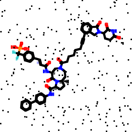 O=C(/C=C/c1ccc(C(F)(F)P(=O)(O)O)cc1)N[C@H]1CN(C(=O)CCCCCC#Cc2cccc3c2CN(C2CCC(=O)NC2=O)C3=O)CC[C@H]2CC[C@@H](C(=O)Nc3ccc(-c4ccccc4)cc3)N2C1=O